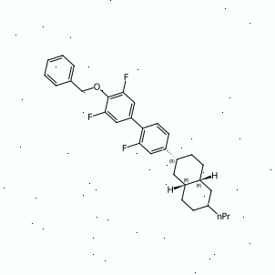 CCCC1CC[C@@H]2C[C@H](c3ccc(-c4cc(F)c(OCc5ccccc5)c(F)c4)c(F)c3)CC[C@@H]2C1